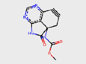 COC(=O)NC12CC#Cc3ncnc(c31)NC2=O